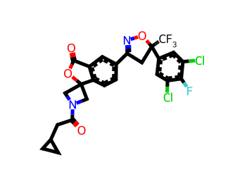 O=C1OC2(CN(C(=O)CC3CC3)C2)c2ccc(C3=NOC(c4cc(Cl)c(F)c(Cl)c4)(C(F)(F)F)C3)cc21